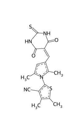 Cc1sc(-n2c(C)cc(C=C3C(=O)NC(=S)NC3=O)c2C)c(C#N)c1C